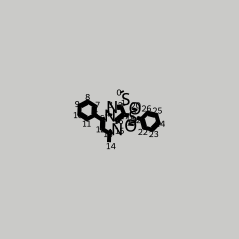 CSc1nn2c(-c3ccccc3)cc(C)nc2c1S(=O)(=O)c1ccccc1